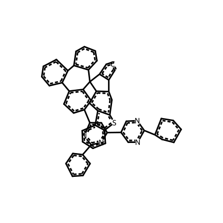 c1ccc(-c2ncc(-c3cc(-c4ccc5c(c4)C4(c6ccccc6-c6ccccc6-5)c5ccccc5-c5cc6sc7ccccc7c6cc54)nc(-c4ccccc4)n3)cn2)cc1